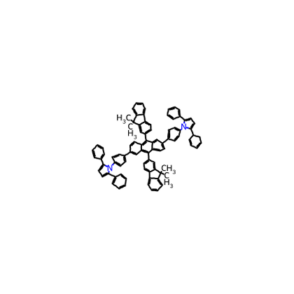 CC1(C)c2ccccc2-c2ccc(-c3c4ccc(-c5ccc(-n6c(-c7ccccc7)ccc6C6C=CC=CC6)cc5)cc4c(-c4ccc5c(c4)C(C)(C)c4ccccc4-5)c4ccc(-c5ccc(-n6c(-c7ccccc7)ccc6-c6ccccc6)cc5)cc34)cc21